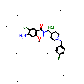 COc1cc(N)c(Cl)cc1C(=O)NCC1CCN(Cc2ccc(F)cc2)CC1.Cl